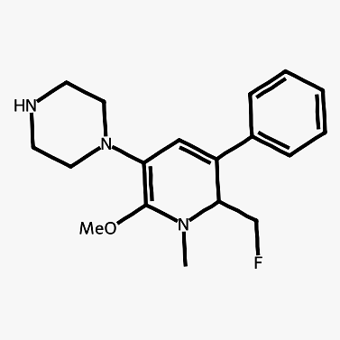 COC1=C(N2CCNCC2)C=C(c2ccccc2)C(CF)N1C